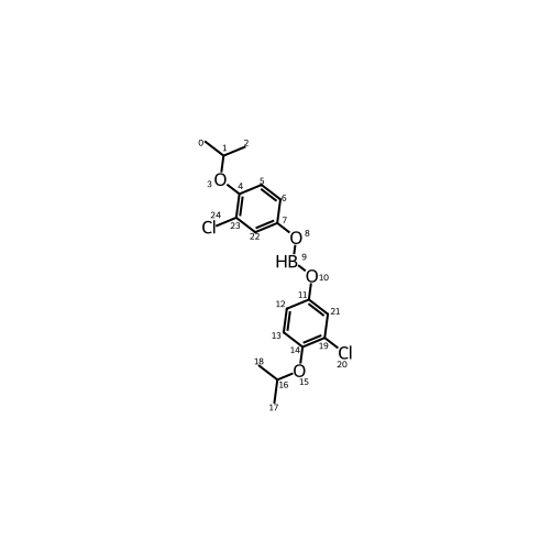 CC(C)Oc1ccc(OBOc2ccc(OC(C)C)c(Cl)c2)cc1Cl